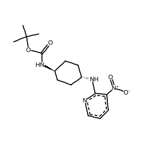 CC(C)(C)OC(=O)N[C@H]1CC[C@H](Nc2ncccc2[N+](=O)[O-])CC1